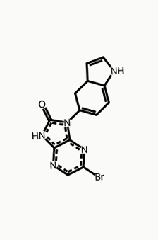 O=c1[nH]c2ncc(Br)nc2n1C1=CC=C2NC=CC2C1